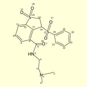 CN(C)CCNC(=O)c1cccc2c1C(S(=O)(=O)c1ccccc1)CS2(=O)=O